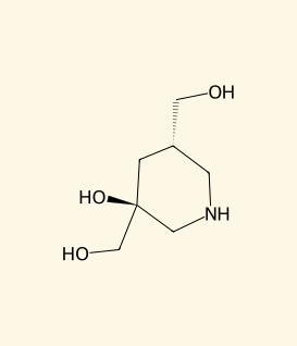 OC[C@@H]1CNC[C@](O)(CO)C1